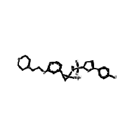 O=C(O)C1(NS(=O)(=O)C2CC=C(c3ccc(Cl)cc3)S2)CC1c1cccc(OCCN2CCOCC2)c1